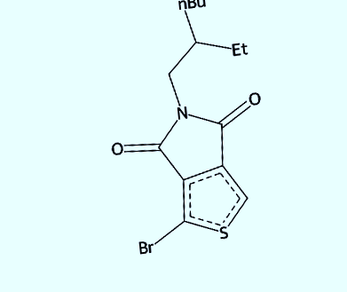 CCCCC(CC)CN1C(=O)c2csc(Br)c2C1=O